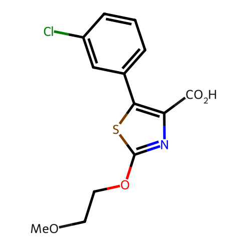 COCCOc1nc(C(=O)O)c(-c2cccc(Cl)c2)s1